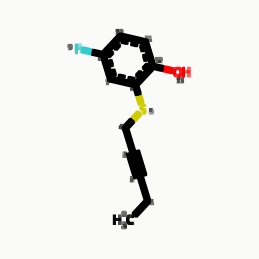 CCC#CCSc1cc(F)ccc1O